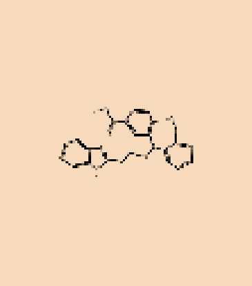 COC(=O)c1ccc2c(c1)C(SCCc1nc3ccccc3[nH]1)c1ccccc1CO2